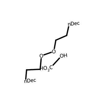 CCCCCCCCCCCCOOCCCCCCCCCCCC.O=C(O)O